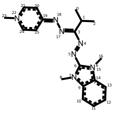 CC(C)C(N=Nc1n(C)c2ccccc2[n+]1C)=NN=c1ccn(C)cc1